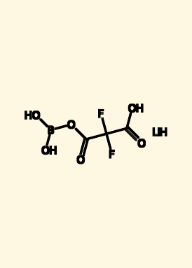 O=C(O)C(F)(F)C(=O)OB(O)O.[LiH]